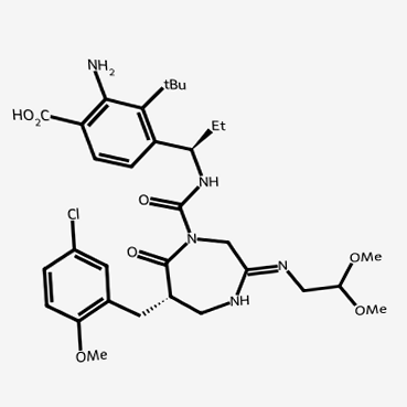 CC[C@@H](NC(=O)N1CC(=NCC(OC)OC)NC[C@H](Cc2cc(Cl)ccc2OC)C1=O)c1ccc(C(=O)O)c(N)c1C(C)(C)C